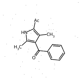 CC(=O)c1[nH]c(C)c(C(=O)c2ccccc2)c1C